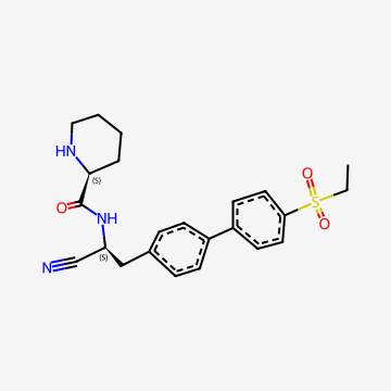 CCS(=O)(=O)c1ccc(-c2ccc(C[C@@H](C#N)NC(=O)[C@@H]3CCCCN3)cc2)cc1